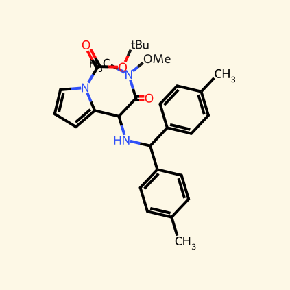 CON(C)C(=O)C(NC(c1ccc(C)cc1)c1ccc(C)cc1)c1cccn1C(=O)OC(C)(C)C